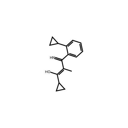 C/C(C(=N)c1ccccc1C1CC1)=C(/O)C1CC1